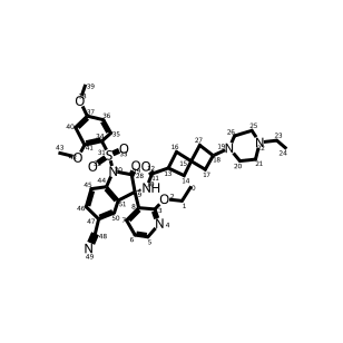 CCOc1ncccc1[C@]1(NC(=O)C2CC3(C2)CC(N2CCN(CC)CC2)C3)C(=O)N(S(=O)(=O)c2ccc(OC)cc2OC)c2ccc(C#N)cc21